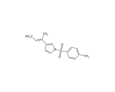 C/C(=C\C(=O)O)c1ccn(S(=O)(=O)c2ccc(C)cc2)c1